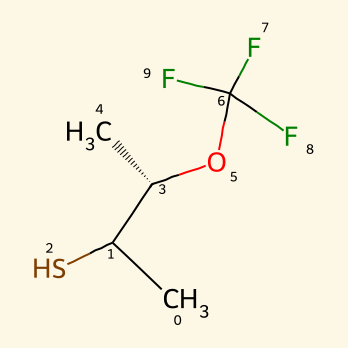 CC(S)[C@H](C)OC(F)(F)F